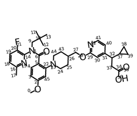 COc1ccc(C(=O)N(CC(C)(C)C)c2nc(C)ccc2F)c(N2CCC(COc3cc(C(CC(=O)O)C4CC4)ccn3)CC2)c1